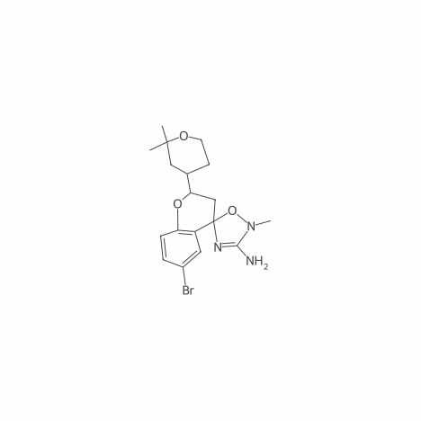 CN1OC2(CC(C3CCOC(C)(C)C3)Oc3ccc(Br)cc32)N=C1N